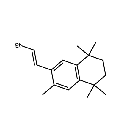 [CH2]CC=Cc1cc2c(cc1C)C(C)(C)CCC2(C)C